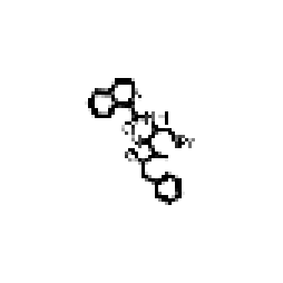 CC(C)C[C@H](NC(=O)c1nccc2ccccc12)C1=NOC(Cc2ccccc2)C1C